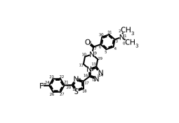 CN(C)c1ccc(C(=O)N2CCn3c(nnc3-c3csc(-c4ccc(F)cc4)n3)C2)cc1